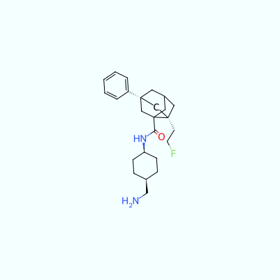 NC[C@H]1CC[C@@H](NC(=O)C23CC4C[C@](c5ccccc5)(C2)C[C@@]3(CCF)C4)CC1